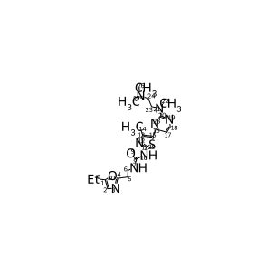 CCc1cnc(CCNC(=O)Nc2nc(C)c(-c3ccnc(N(C)CCN(C)C)n3)s2)o1